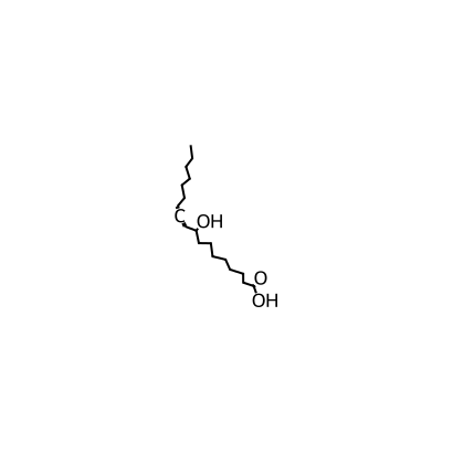 CCCCCCC=C=CC(O)CCCCCCCC(=O)O